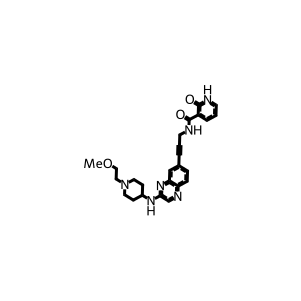 COCCN1CCC(Nc2cnc3ccc(C#CCNC(=O)c4ccc[nH]c4=O)cc3n2)CC1